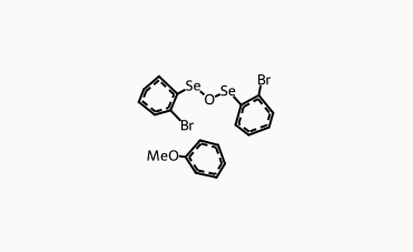 Brc1ccccc1[Se]O[Se]c1ccccc1Br.COc1ccccc1